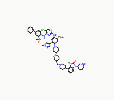 COc1cc(N2CCC(N3CCC(CN4CCC(c5cccc6c5n(C)c(=O)n6C5CCCNC5)CC4)CC3)CC2)c(-c2cnn(C)c2)cc1Nc1ncc(Br)c(Nc2ccc(-c3ccccc3)cc2P(C)(C)=O)n1